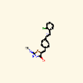 N#CN=C1NC(=O)C(=Cc2ccc(/C=C/c3ccccc3F)cc2)S1